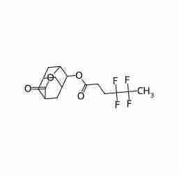 CC(F)(F)C(F)(F)CCC(=O)OC1C2CC3CC(C2)C(=O)OC1C3